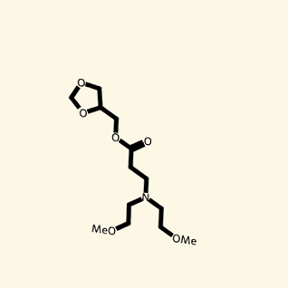 COCCN(CCOC)CCC(=O)OCC1COCO1